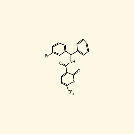 O=C(NC(c1ccccc1)c1cccc(Br)c1)c1ccc(C(F)(F)F)[nH]c1=O